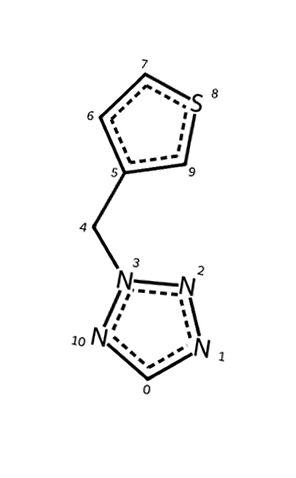 c1nnn(Cc2ccsc2)n1